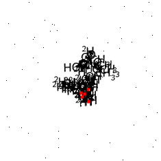 [2H]OC(=O)C(C)(NC(=O)OC(C)(C)C)c1ccc(O)c([2H])c1[2H].[2H]c1c([2H])c(C(C(=O)O)(N([2H])C(=O)OC(C([2H])([2H])[2H])(C([2H])([2H])[2H])C([2H])([2H])[2H])C([2H])([2H])[2H])c([2H])c([2H])c1OC([2H])([2H])C([2H])([2H])OC([2H])([2H])[2H]